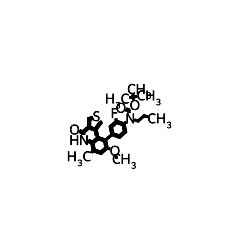 CCCN(C(=O)OC(C)(C)C)c1ccc(-c2c(OC)cc(C)c3[nH]c(=O)c4cscc4c23)cc1F